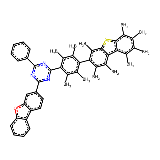 Bc1c(B)c(-c2c(B)c(B)c3c(sc4c(B)c(B)c(B)c(B)c43)c2B)c(B)c(B)c1-c1nc(-c2ccccc2)nc(-c2ccc3c(c2)oc2ccccc23)n1